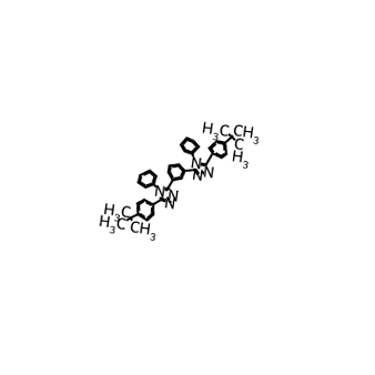 CC(C)(C)c1ccc(-c2nnc(-c3cccc(-c4nnc(-c5ccc(C(C)(C)C)cc5)n4-c4ccccc4)c3)n2-c2ccccc2)cc1